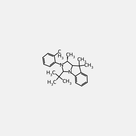 Cc1ccccc1N1C(C(C)(C)C)N2c3ccccc3C(C)(C)C2[C@@H]1C